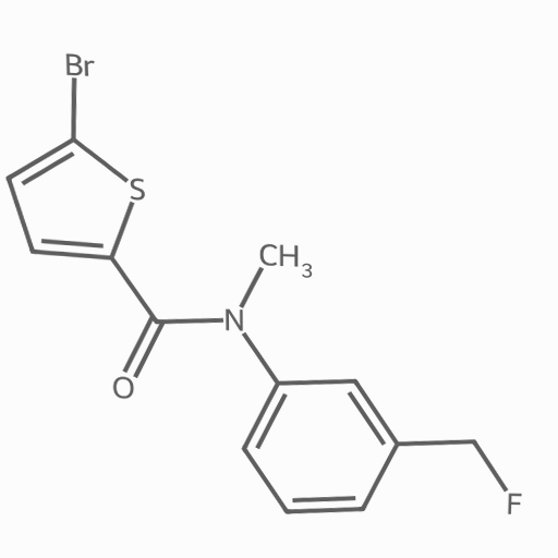 CN(C(=O)c1ccc(Br)s1)c1cccc(CF)c1